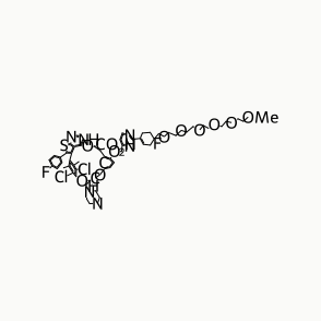 COCCOCCOCCOCCOCCOC[C@@]1(F)CC=C(c2nccc(COc3ccc4cc3C[C@H](C(=O)O)Oc3ncnc5sc(-c6ccc(F)cc6)c(c35)-c3c(C)c(Cl)c(c(Cl)c3C)O[C@H](CN3CCN(C)CC3)CO4)n2)CC1